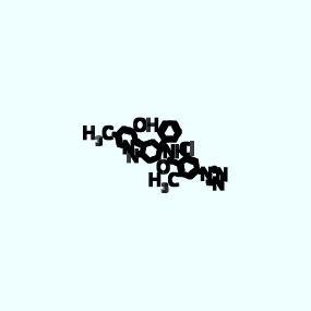 Cc1cc(O)c2c3c(nn2c1)CCC(NC(=O)c1c(C)cc(-n2cnnc2)cc1Cl)(c1ccccc1)C3